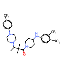 CC(N1CCN(c2ccc(C(F)(F)F)cc2)CC1)C(C)(C)C(=O)N1CCC(Nc2ccc([N+](=O)[O-])c(C(F)(F)F)c2)CC1